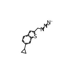 [N-]=[N+]=NCc1cc2ccc(C3CC3)cc2s1